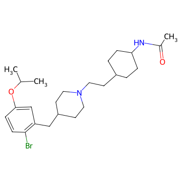 CC(=O)NC1CCC(CCN2CCC(Cc3cc(OC(C)C)ccc3Br)CC2)CC1